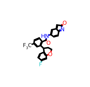 O=C1C=c2cc(NC(=O)c3ccc(C(F)(F)F)cc3C3CCOc4cc(F)ccc43)ccc2=N1